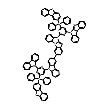 c1ccc([Si](c2ccccc2)(c2ccc3sc4ccccc4c3c2)c2cc(-n3c4ccccc4c4cc(-c5ccc6nc7n(-c8nc(-n9c%10ccccc%10n%10c%11ccccc%11nc9%10)cc([Si](c9ccccc9)(c9ccccc9)c9ccc%10sc%11ccccc%11c%10c9)n8)c8ccccc8n7c6c5)ccc43)nc(-n3c4ccccc4c4ccccc43)n2)cc1